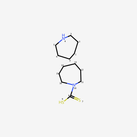 C1CCCNCC1.S=C(S)N1CCCCCC1